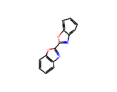 [c]1cccc2oc(-c3nc4ccccc4o3)nc12